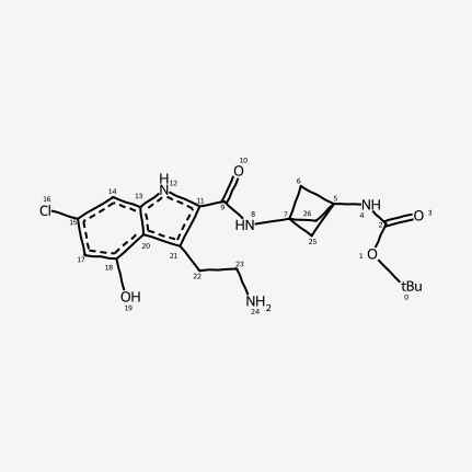 CC(C)(C)OC(=O)NC12CC(NC(=O)c3[nH]c4cc(Cl)cc(O)c4c3CCN)(C1)C2